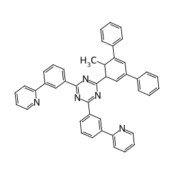 CC1C(c2ccccc2)=CC(c2ccccc2)=CC1c1nc(-c2cccc(-c3ccccn3)c2)nc(-c2cccc(-c3ccccn3)c2)n1